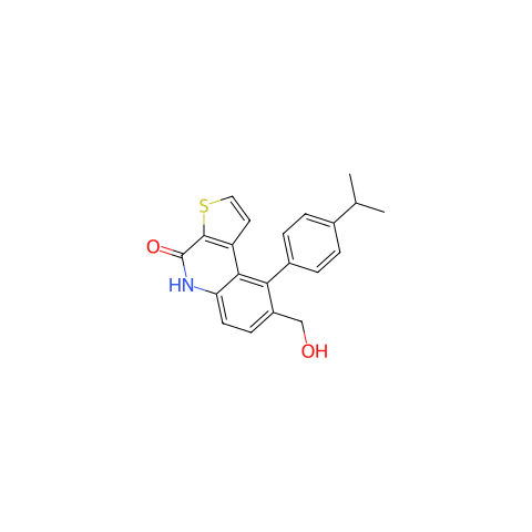 CC(C)c1ccc(-c2c(CO)ccc3[nH]c(=O)c4sccc4c23)cc1